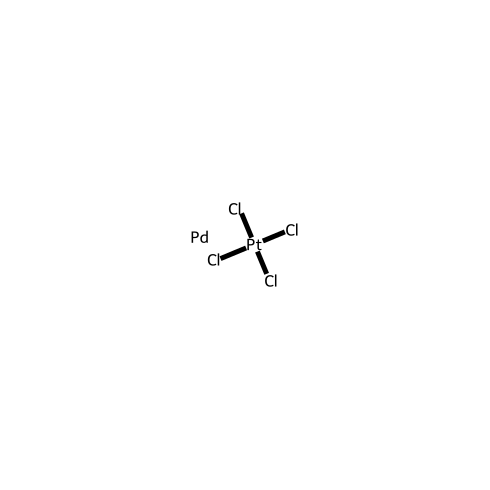 [Cl][Pt]([Cl])([Cl])[Cl].[Pd]